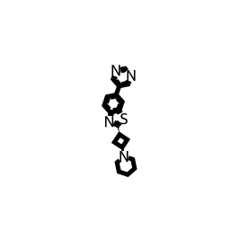 c1ncc(-c2ccc3nc([C@H]4C[C@H](N5CCCCC5)C4)sc3c2)cn1